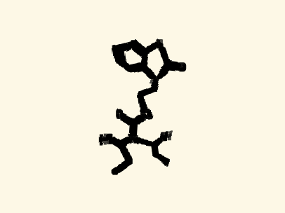 CCC(S)N(C(=O)OCCn1c(=O)sc2ccccc21)C(S)CC